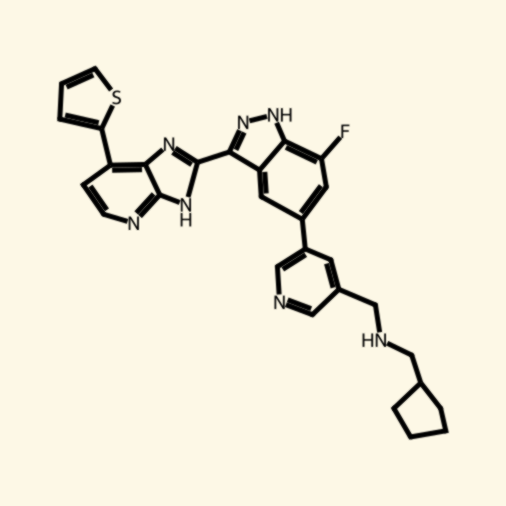 Fc1cc(-c2cncc(CNCC3CCCC3)c2)cc2c(-c3nc4c(-c5cccs5)ccnc4[nH]3)n[nH]c12